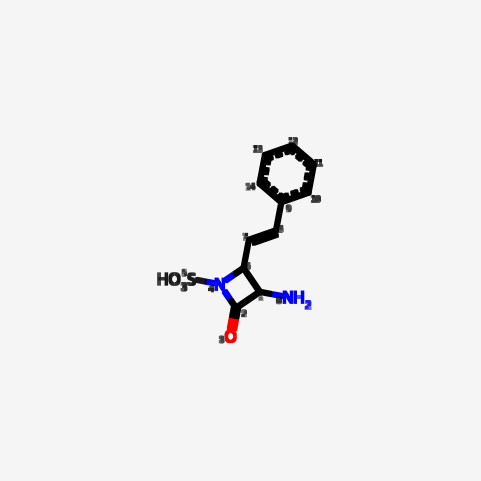 NC1C(=O)N(S(=O)(=O)O)C1C=Cc1ccccc1